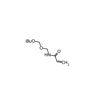 C=CC(=O)NCOCOCC(C)C